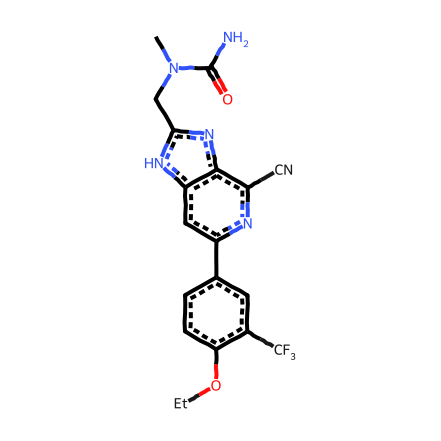 CCOc1ccc(-c2cc3[nH]c(CN(C)C(N)=O)nc3c(C#N)n2)cc1C(F)(F)F